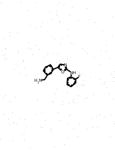 NCc1cccc(-c2cnc(Nc3ccccc3F)o2)c1